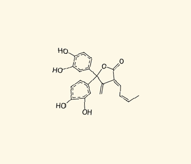 C=C1/C(=C\C=C/C)C(=O)OC1(c1ccc(O)c(O)c1)c1ccc(O)c(O)c1